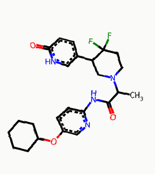 CC(C(=O)Nc1ccc(OC2CCCCC2)cn1)N1CCC(F)(F)C(c2ccc(=O)[nH]c2)C1